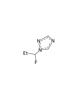 CCC(F)n1cncn1